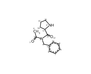 CC(=O)N(Cc1c[c]ccc1)C(=O)C1CCCN1